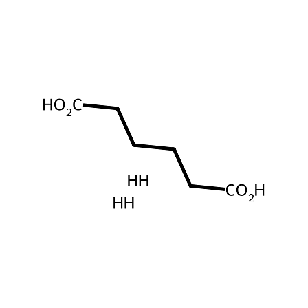 O=C(O)CCCCC(=O)O.[HH].[HH]